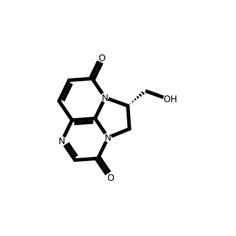 O=c1cnc2ccc(=O)n3c2n1C[C@H]3CO